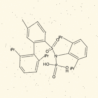 Cc1ccc(S(=O)(=O)N(c2c(C(C)C)cccc2C(C)C)P(=O)(O)O)c(-c2c(C(C)C)cccc2C(C)C)c1